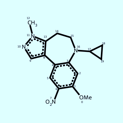 COc1cc2c(cc1[N+](=O)[O-])-c1cnn(C)c1CCN2C1CC1